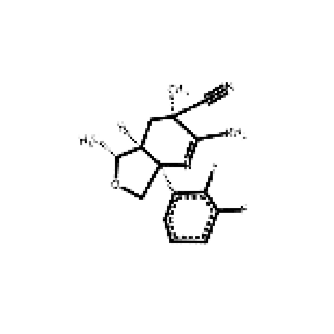 C[C@H]1OC[C@]2(c3cccc(F)c3F)N=C(N)[C@](C)(C#N)C[C@H]12